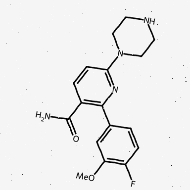 COc1cc(-c2nc(N3CCNCC3)ccc2C(N)=O)ccc1F